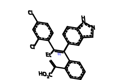 C=C(C(=O)O)c1ccccc1/C(=C(\CC)c1ccc(Cl)cc1Cl)c1ccc2[nH]ncc2c1